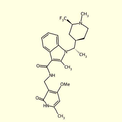 COc1cc(C)[nH]c(=O)c1CNC(=O)c1c(C)n([C@@H](C)[C@@H]2CCN(C)[C@H](C(F)(F)F)C2)c2ccccc12